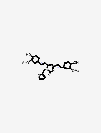 COc1cc(/C=C/c2cc(/C=C/c3ccc(O)c(OC)c3)n(Cc3ccco3)c(=S)n2)ccc1O